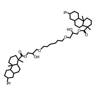 CC(C)C1CCC2C(CCC3C(C)(C(=O)OCC(O)COCCCCCCOCC(O)COC(=O)C4(C)CCCC5(C)C6CCC(C(C)C)CC6CCC45)CCCC23C)C1